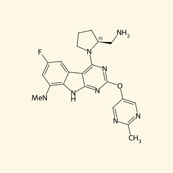 CNc1cc(F)cc2c1[nH]c1nc(Oc3cnc(C)nc3)nc(N3CCC[C@H]3CN)c12